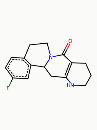 O=C1C2=C(CC3c4cc(F)ccc4CCN13)NCCC2